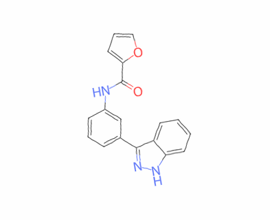 O=C(Nc1cccc(-c2n[nH]c3ccccc23)c1)c1ccco1